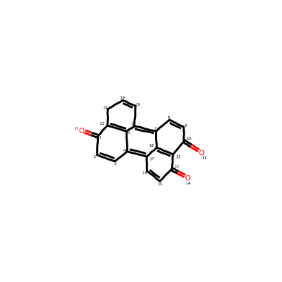 O=C1C=Cc2c3c(c4ccc(=O)c5c(=O)ccc2c4=5)C=CCC=31